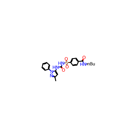 CCCCNC(=O)c1ccc(S(=O)(=O)NC(=O)Nc2cc(C)nn2-c2ccccc2)cc1